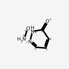 NCl.O=c1cccn[nH]1